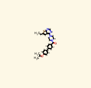 CCc1cc2c(N3CCN(C(=O)c4ccc(-c5ccc(OC(C)C)cc5)cc4)CC3)ncnc2s1